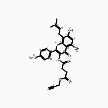 C#CCOC(=O)CCC(=O)Oc1c(-c2ccc(OC)cc2)oc2c(CC=C(C)C)c(O)cc(O)c2c1=O